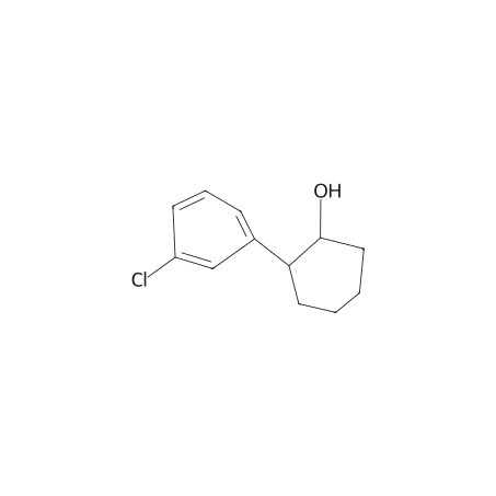 OC1CCCCC1c1cccc(Cl)c1